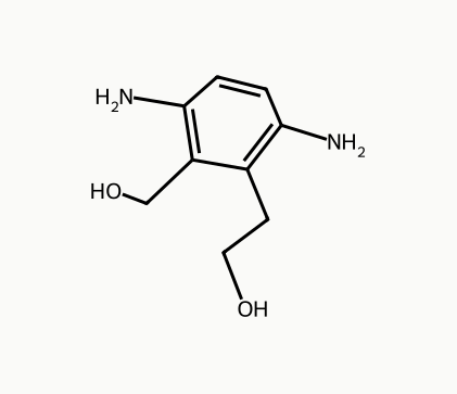 Nc1ccc(N)c(CCO)c1CO